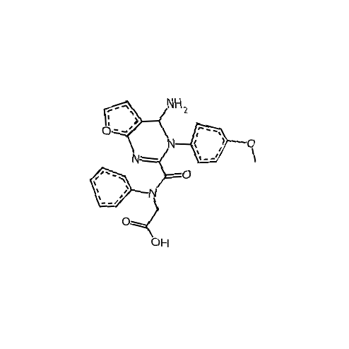 COc1ccc(N2C(C(=O)N(CC(=O)O)c3ccccc3)=Nc3occc3C2N)cc1